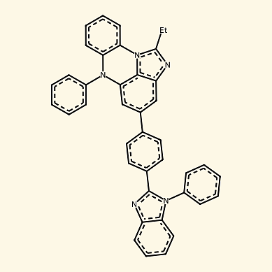 CCc1nc2cc(-c3ccc(-c4nc5ccccc5n4-c4ccccc4)cc3)cc3c2n1-c1ccccc1N3c1ccccc1